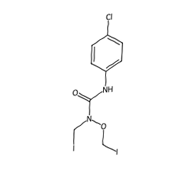 O=C(Nc1ccc(Cl)cc1)N(CI)OCI